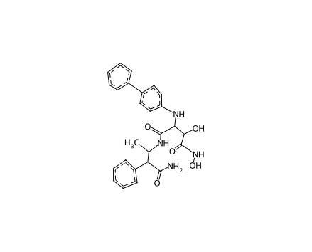 CC(NC(=O)C(Nc1ccc(-c2ccccc2)cc1)C(O)C(=O)NO)C(C(N)=O)c1ccccc1